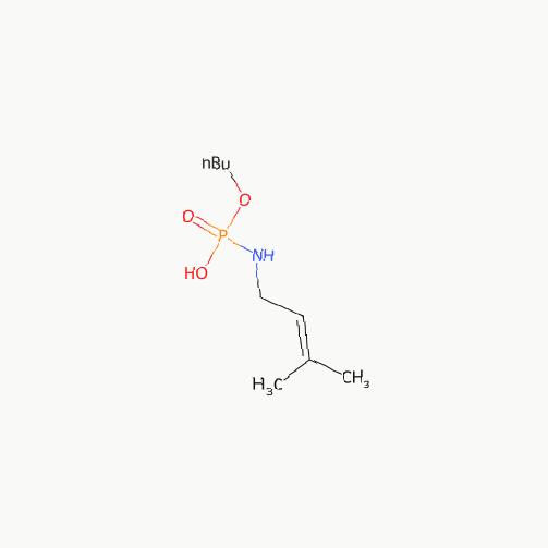 CCCCOP(=O)(O)NCC=C(C)C